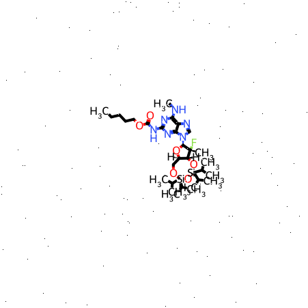 CCCCCOC(=O)Nc1nc(NC)c2ncn([C@@H]3O[C@@H]4CO[Si](C(C)C)(C(C)C)O[Si](C(C)C)(C(C)C)O[C@H]4[C@@]3(C)F)c2n1